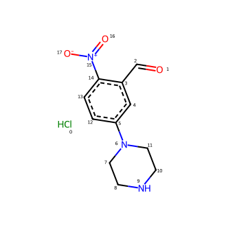 Cl.O=Cc1cc(N2CCNCC2)ccc1[N+](=O)[O-]